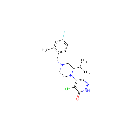 Cc1cc(F)ccc1CN1CCN(c2cn[nH]c(=O)c2Cl)C(C(C)C)C1